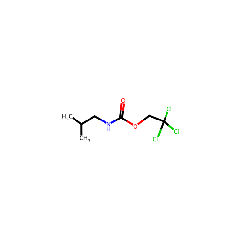 CC(C)CNC(=O)OCC(Cl)(Cl)Cl